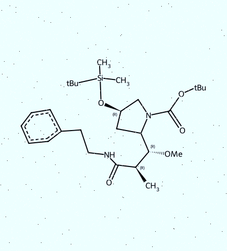 CO[C@@H](C1C[C@@H](O[Si](C)(C)C(C)(C)C)CN1C(=O)OC(C)(C)C)[C@@H](C)C(=O)NCCc1ccccc1